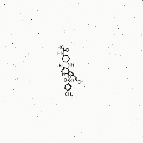 C/C=C/c1cc2c(N[C@H]3CC[C@H](NC(=O)O)CC3)c(Br)cnc2n1S(=O)(=O)c1ccc(C)cc1